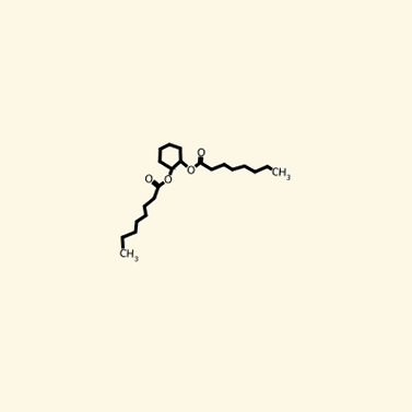 CCCCCCCC(=O)O[C]1CCCCC1OC(=O)CCCCCCC